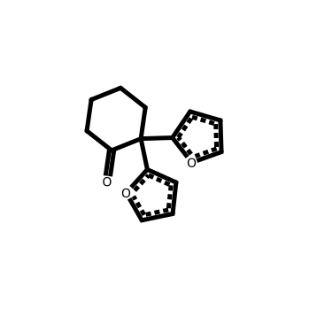 O=C1CCCCC1(c1ccco1)c1ccco1